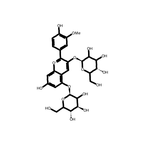 COc1cc(-c2[o+]c3cc(O)cc(O[C@@H]4OC(CO)[C@@H](O)[C@H](O)C4O)c3cc2O[C@@H]2OC(CO)[C@@H](O)C(O)C2O)ccc1O